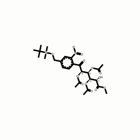 COC(=O)[C@@H](O)[C@@H](OC(C)=O)[C@H](OC(C)=O)[C@@H](OC(C)=O)C(=O)c1ccc(CO[Si](C)(C)C(C)(C)C)cc1[N+](=O)[O-]